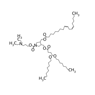 CCCCC/C=C\C/C=C\CCCCCCCC(=O)OCC1CN(C(=O)OCCCN(CC)CC)CC1COC(=O)CCC(OCCCCCCCC)OCCCCCCCC